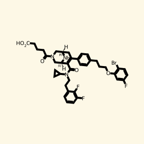 O=C(O)CCCC(=O)N1C[C@H]2CC(c3ccc(CCCOc4cc(F)ccc4Br)cc3)=C(C(=O)N(CCc3cccc(F)c3F)C3CC3)[C@@H](C1)N2